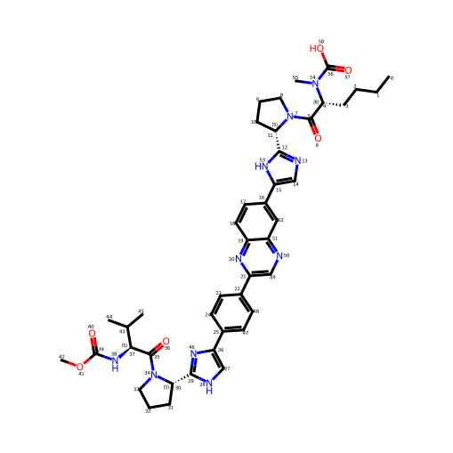 CCCC[C@H](C(=O)N1CCC[C@H]1c1ncc(-c2ccc3nc(-c4ccc(-c5c[nH]c([C@@H]6CCCN6C(=O)[C@@H](NC(=O)OC)C(C)C)n5)cc4)cnc3c2)[nH]1)N(C)C(=O)O